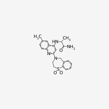 Cc1ccc2nc(N3CCS(=O)(=O)c4ccccc4C3)cc(NC(C)C(N)=O)c2c1